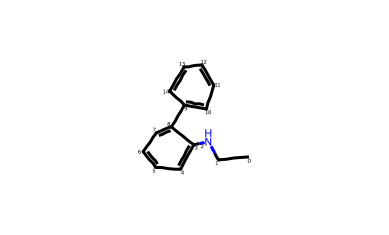 CCNc1ccccc1-c1cc[c]cc1